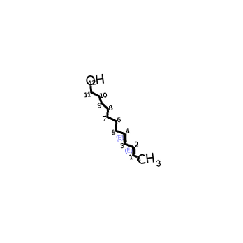 C/C=C/C=C/CCCCCCCO